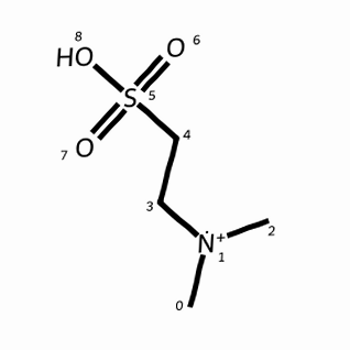 C[N+](C)CCS(=O)(=O)O